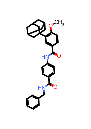 COc1ccc(C(=O)Nc2ccc(C(=O)NCc3ccccc3)cc2)cc1C12CC3CC(CC(C3)C1)C2